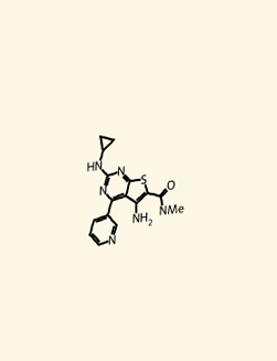 CNC(=O)c1sc2nc(NC3CC3)nc(-c3cccnc3)c2c1N